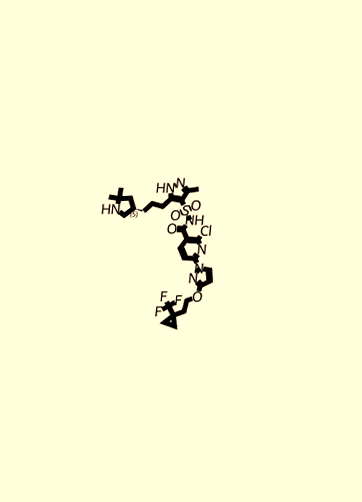 Cc1n[nH]c(CCC[C@@H]2CNC(C)(C)C2)c1S(=O)(=O)NC(=O)c1ccc(-n2ccc(OCCC3(C(F)(F)F)CC3)n2)nc1Cl